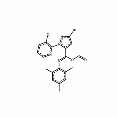 Cc1cc(C)c(/N=C(\OC=O)c2cc(Br)nn2-c2ncccc2Cl)c(C)c1